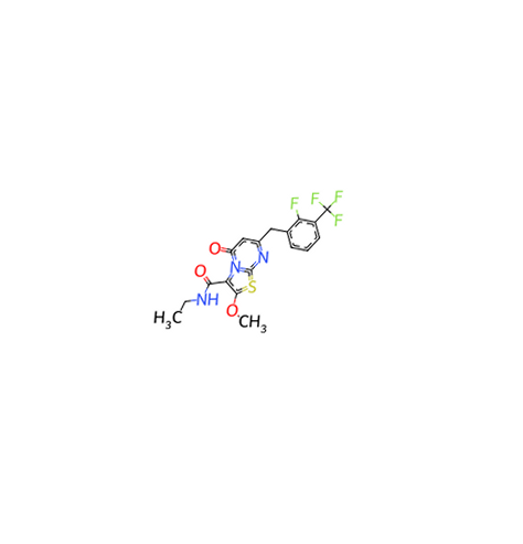 CCNC(=O)c1c(OC)sc2nc(Cc3cccc(C(F)(F)F)c3F)cc(=O)n12